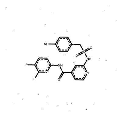 N#Cc1ccc(CS(=O)(=O)Nc2cc(C(=O)Nc3ccc(F)c(F)c3)ccn2)cc1